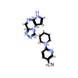 N#Cc1ccc(N2CCC[C@@H](c3nnc4cnc5[nH]ccc5n34)C2)nc1